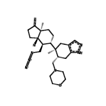 C=C1CC[C@H]2[C@H](CN=[N+]=[N-])[C@@H]([C@@]3(C)Cc4cn[nH]c4C[C@@H]3CN3CCOCC3)CC[C@]12C